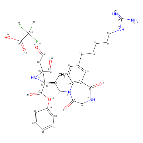 CC(CN1C(=O)CNC(=O)c2cc(CCCCCNC(=N)N)ccc21)[C@@]1(C(=O)Oc2ccccc2)NC1(C=O)CC=O.O=C(O)C(F)(F)F